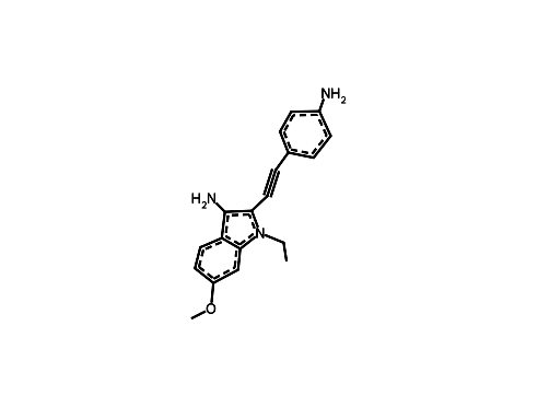 CCn1c(C#Cc2ccc(N)cc2)c(N)c2ccc(OC)cc21